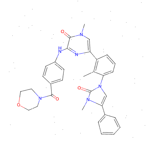 Cc1c(-c2cn(C)c(=O)c(Nc3ccc(C(=O)N4CCOCC4)cc3)n2)cccc1-n1cc(-c2ccccc2)n(C)c1=O